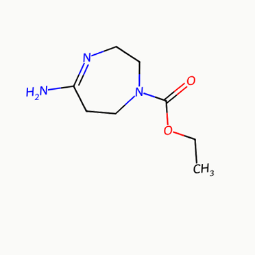 CCOC(=O)N1CCN=C(N)CC1